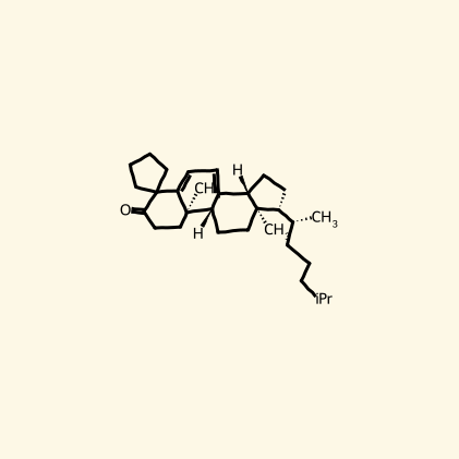 CC(C)CCC[C@@H](C)[C@H]1CC[C@H]2C3=CC=C4C5(CCCC5)C(=O)CC[C@]4(C)[C@H]3CC[C@]12C